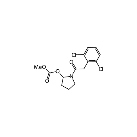 COC(=O)OC1CCCN1C(=O)Cc1c(Cl)cccc1Cl